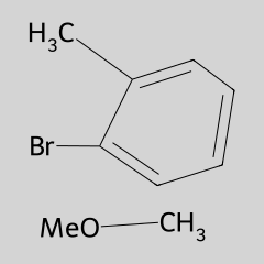 COC.Cc1ccccc1Br